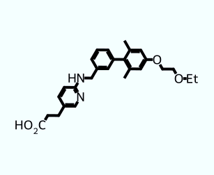 CCOCCOc1cc(C)c(-c2cccc(CNc3ccc(CCC(=O)O)cn3)c2)c(C)c1